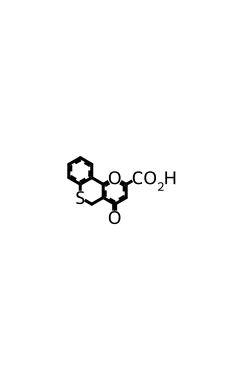 O=C(O)c1cc(=O)c2c(o1)-c1ccccc1SC2